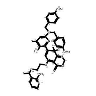 COc1ccc(CN(Cc2ccc(OC)cc2)c2cc(C)c(C(F)(F)F)c(C3=CC(OCCNC(C)c4cccnc4N)=C4C(=O)NCN=C4C3(F)Cl)n2)cc1